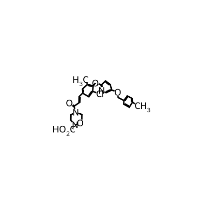 Cc1ccc(COc2ccc(Oc3c(C)cc(/C=C/C(=O)N4CCON(C(=O)O)CC4)cc3Cl)nc2)cc1